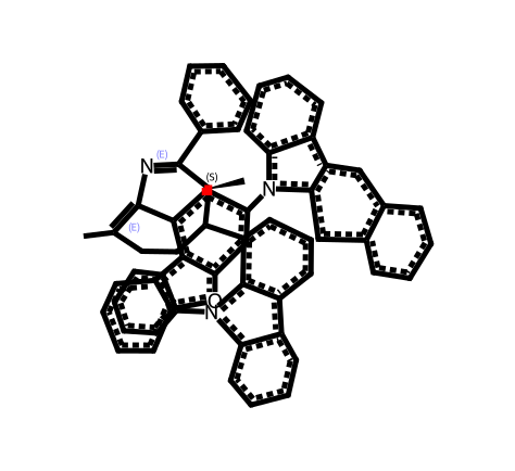 C/C1=C(c2cc(-n3c4ccccc4c4cc5ccccc5cc43)cc3oc4ccccc4c23)\N=C(\c2ccccc2)[C@@H](C)C(c2cccc3c4ccccc4n(-c4ccccc4)c23)CC1